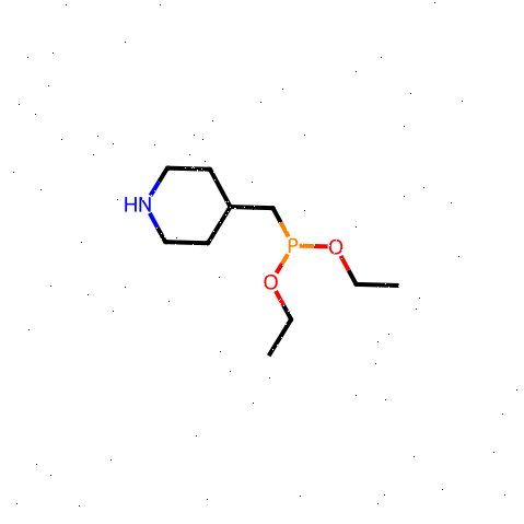 CCOP(CC1CCNCC1)OCC